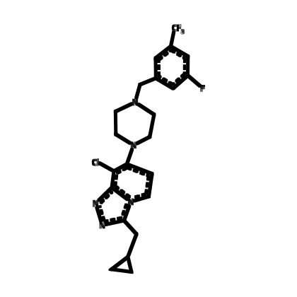 Fc1cc(CN2CCN(c3ccn4c(CC5CC5)nnc4c3Cl)CC2)cc(C(F)(F)F)c1